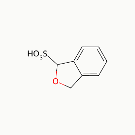 O=S(=O)(O)C1OCc2ccccc21